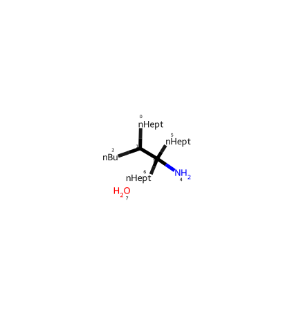 CCCCCCCC(CCCC)C(N)(CCCCCCC)CCCCCCC.O